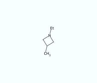 CCN1CC(C)C1